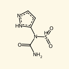 NC(=O)N(c1ccn[nH]1)[SH](=O)=O